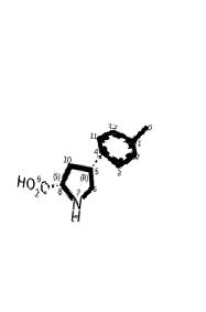 Cc1ccc([C@@H]2CN[C@H](C(=O)O)C2)cc1